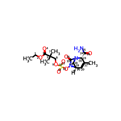 CCOC(=O)C(C)(C)COS(=O)(=O)ON1C(=O)N2C[C@H]1C=C(C)[C@H]2C(N)=O